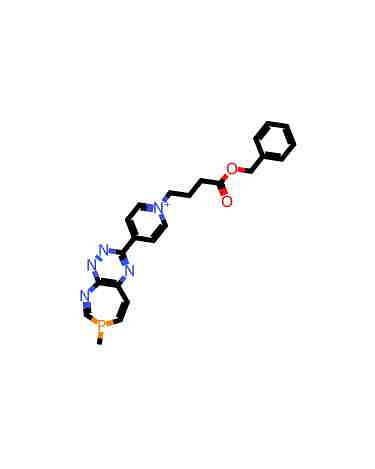 CP1C=Cc2nc(-c3cc[n+](CCCC(=O)OCc4ccccc4)cc3)nnc2N=C1